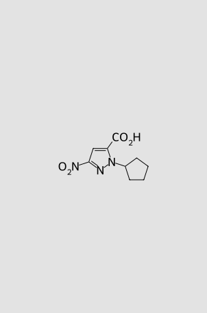 O=C(O)c1cc([N+](=O)[O-])nn1C1CCCC1